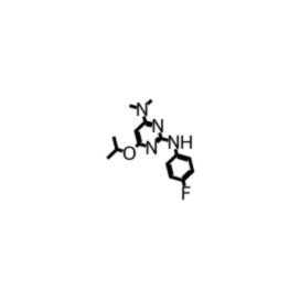 CC(C)Oc1cc(N(C)C)nc(Nc2ccc(F)cc2)n1